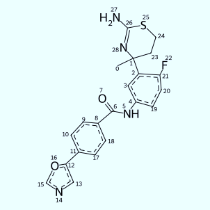 CC1(c2cc(NC(=O)c3ccc(-c4cnco4)cc3)ccc2F)CCSC(N)=N1